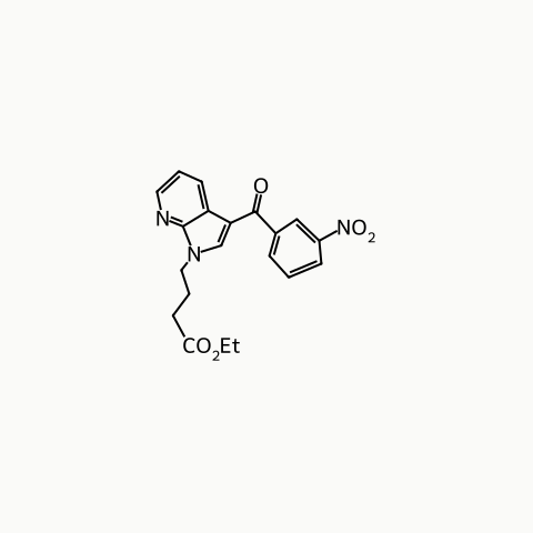 CCOC(=O)CCCn1cc(C(=O)c2cccc([N+](=O)[O-])c2)c2cccnc21